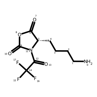 NCCCC[C@H]1C(=O)OC(=O)N1C(=O)C(F)(F)F